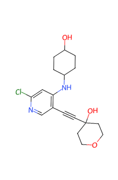 OC1CCC(Nc2cc(Cl)ncc2C#CC2(O)CCOCC2)CC1